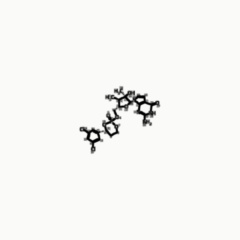 C[C@@H]1[C@@H](COP2(=O)OCC[C@H](c3cc(Cl)cc(Cl)c3)O2)O[C@@H](n2ccc3c(=O)[nH]c(N)nc32)[C@]1(C)O